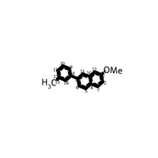 COc1ccc2ccc(-c3cccc(C)c3)cc2c1